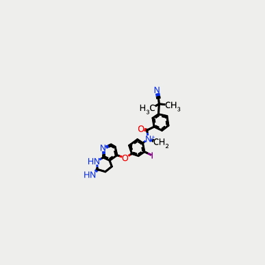 C=[N+](C(=O)c1cccc(C(C)(C)C#N)c1)c1ccc(Oc2ccnc3c2CCC(=N)N3)cc1I